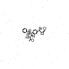 CC(=O)Nc1nc2cc(C(Br)C3CC/C3=C/Cl)ccc2n1S(=O)(=O)c1ccccc1